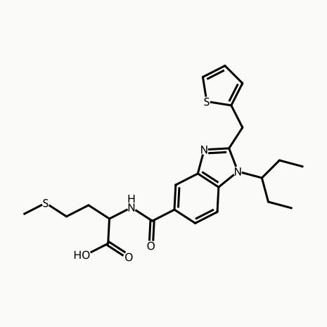 CCC(CC)n1c(Cc2cccs2)nc2cc(C(=O)NC(CCSC)C(=O)O)ccc21